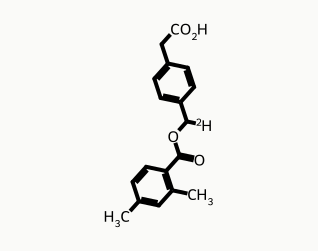 [2H]C(OC(=O)c1ccc(C)cc1C)c1ccc(CC(=O)O)cc1